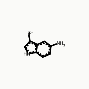 CC(C)c1c[nH]c2ccc(N)cc12